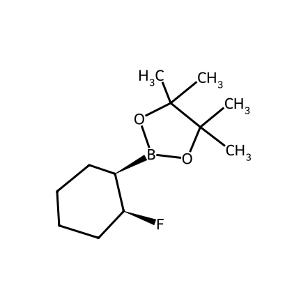 CC1(C)OB([C@@H]2CCCC[C@@H]2F)OC1(C)C